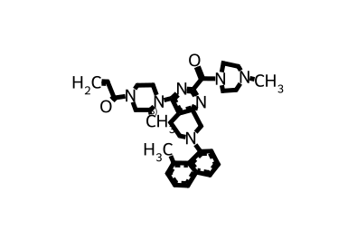 C=CC(=O)N1CCN(c2nc(C(=O)N3CCN(C)CC3)nc3c2CCN(c2cccc4cccc(C)c24)C3)[C@@H](C)C1